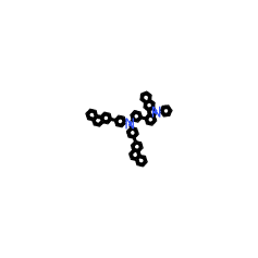 c1ccc(-n2c3cc4ccccc4cc3c3c(-c4cccc(N(c5ccc(-c6ccc7c(ccc8ccccc87)c6)cc5)c5ccc(-c6ccc7c(ccc8ccccc87)c6)cc5)c4)cccc32)cc1